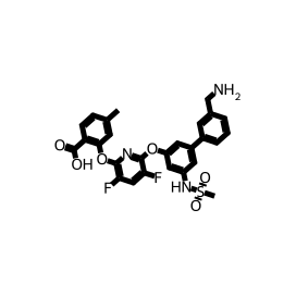 Cc1ccc(C(=O)O)c(Oc2nc(Oc3cc(NS(C)(=O)=O)cc(-c4cccc(CN)c4)c3)c(F)cc2F)c1